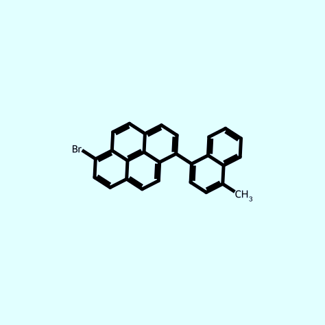 Cc1ccc(-c2ccc3ccc4c(Br)ccc5ccc2c3c54)c2ccccc12